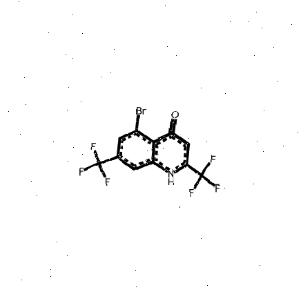 O=c1cc(C(F)(F)F)[nH]c2cc(C(F)(F)F)cc(Br)c12